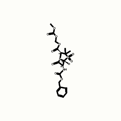 COC(=O)OCOC(=O)[C@@H]1N2C(=O)[C@@H](NC(=O)OCc3ccccc3)[C@H]2S(=O)(=O)C1(C)C